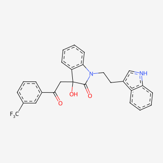 O=C(CC1(O)C(=O)N(CCc2c[nH]c3ccccc23)c2ccccc21)c1cccc(C(F)(F)F)c1